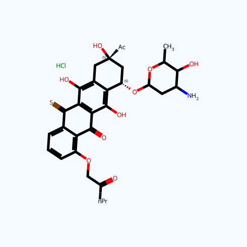 CCCC(=O)COc1cccc2c1C(=O)c1c(O)c3c(c(O)c1C2=S)C[C@@](O)(C(C)=O)C[C@@H]3OC1CC(N)C(O)C(C)O1.Cl